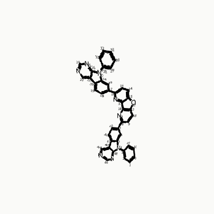 c1ccc(-n2c3cc(-c4ccc5oc6ccc(-c7ccc8c9cncnc9n(-c9ccccc9)c8c7)nc6c5n4)ccc3c3cncnc32)cc1